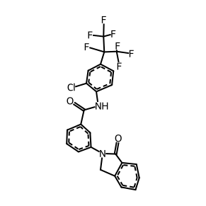 O=C(Nc1ccc(C(F)(C(F)(F)F)C(F)(F)F)cc1Cl)c1cccc(N2Cc3ccccc3C2=O)c1